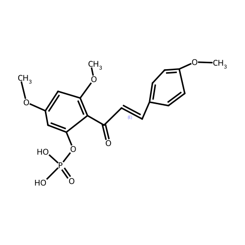 COc1ccc(/C=C/C(=O)c2c(OC)cc(OC)cc2OP(=O)(O)O)cc1